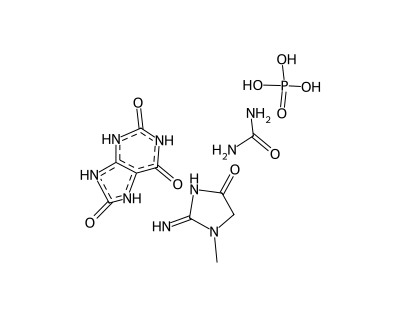 CN1CC(=O)NC1=N.NC(N)=O.O=P(O)(O)O.O=c1[nH]c(=O)c2[nH]c(=O)[nH]c2[nH]1